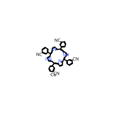 N#Cc1cccc(-c2c3nc(c(-c4cccc(C#N)c4)c4ccc([nH]4)c(-c4cccc(C#N)c4)c4nc(c(-c5cccc(C#N)c5)c5ccc2[nH]5)C=C4)C=C3)c1.[Co]